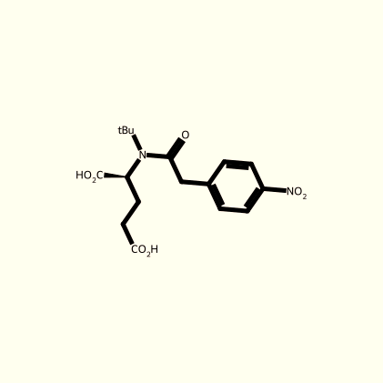 CC(C)(C)N(C(=O)Cc1ccc([N+](=O)[O-])cc1)[C@@H](CCC(=O)O)C(=O)O